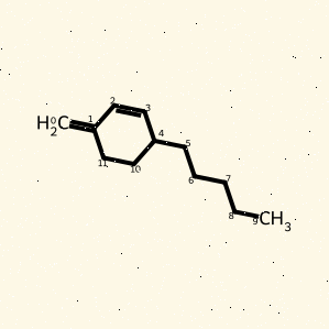 C=C1C=CC(CCCCC)CC1